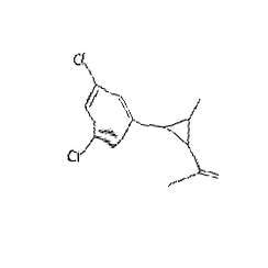 C=C(C)C1C(C)C1c1cc(Cl)cc(Cl)c1